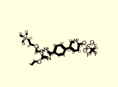 CCOc1nc(-c2ccc(C3=CCC(OS(=O)(=O)C(F)(F)F)N=C3)cc2)nn1COCC[Si](C)(C)C